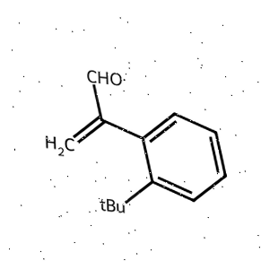 C=C([C]=O)c1ccccc1C(C)(C)C